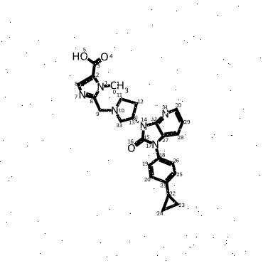 Cn1c(C(=O)O)cnc1CN1CC[C@H](n2c(=O)n(-c3ccc(C4CC4)cc3)c3cccnc32)C1